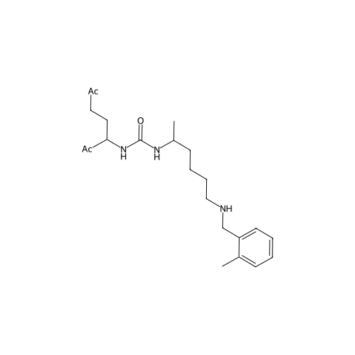 CC(=O)CCC(NC(=O)NC(C)CCCCNCc1ccccc1C)C(C)=O